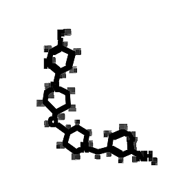 Nc1cc(CN2CCC(OC3CCN(c4ccc(F)cn4)CC3)CC2)ccn1